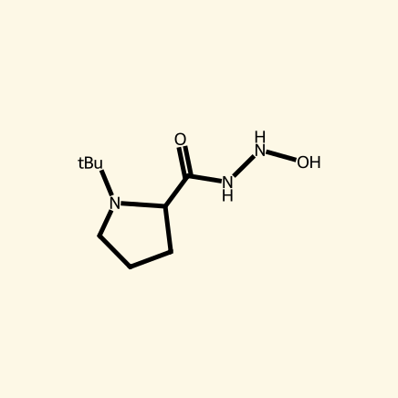 CC(C)(C)N1CCCC1C(=O)NNO